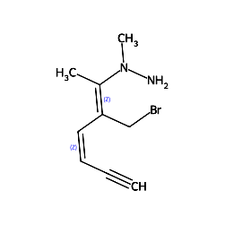 C#C/C=C\C(CBr)=C(/C)N(C)N